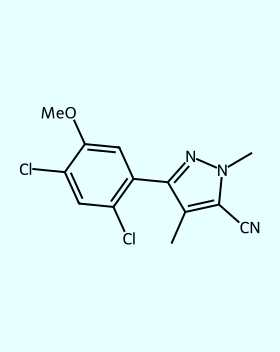 COc1cc(-c2nn(C)c(C#N)c2C)c(Cl)cc1Cl